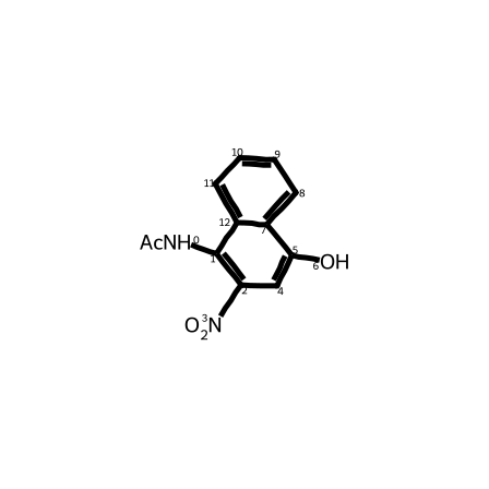 CC(=O)Nc1c([N+](=O)[O-])cc(O)c2ccccc12